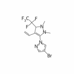 C=CC1=C(n2cc(Br)cn2)N(C)N(C)C1C(F)(F)C(F)(F)F